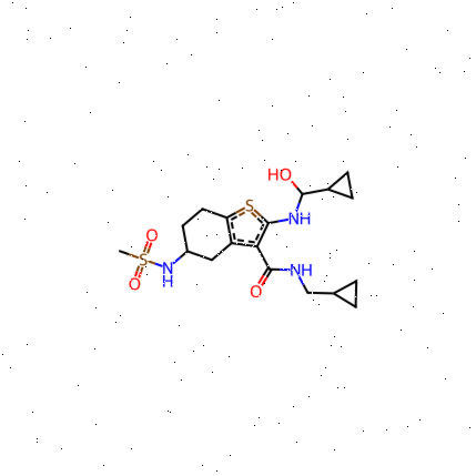 CS(=O)(=O)NC1CCc2sc(NC(O)C3CC3)c(C(=O)NCC3CC3)c2C1